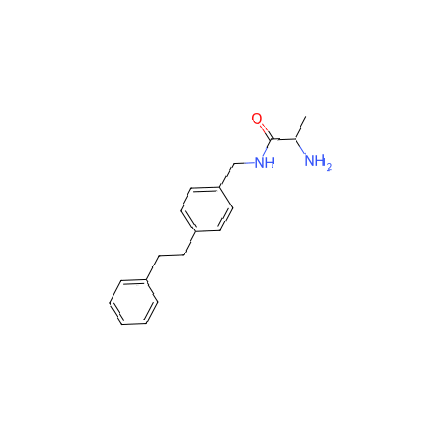 CC(N)C(=O)NCc1ccc(CCc2ccccc2)cc1